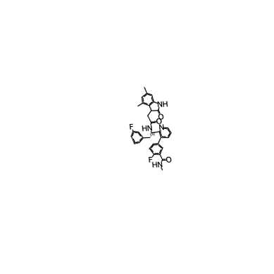 CNC(=O)c1cc(-c2cccnc2[C@H](Cc2cccc(F)c2)NC(=O)CC2C(=O)Nc3cc(C)cc(C)c32)ccc1F